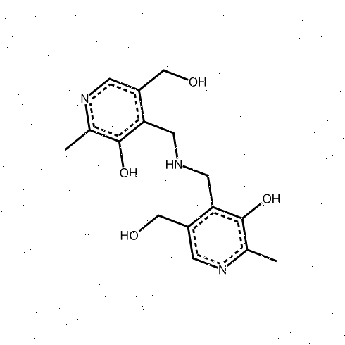 Cc1ncc(CO)c(CNCc2c(CO)cnc(C)c2O)c1O